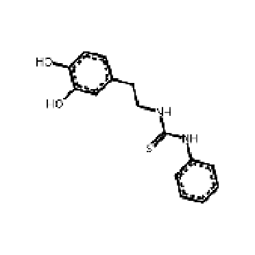 Oc1ccc(CCNC(=S)Nc2ccccc2)cc1O